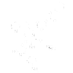 CC(OC(=O)OC1CCCCC1)OC(=O)C1=C(/C=C\c2cccnc2)CS[C@@H]2[C@H](NC(=O)/C(=N\O)c3csc(N)n3)C(=O)N12.Cl.Cl